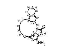 Nc1nc2nc3c1[nH]c(=O)n3Cc1cc(c3c(c1)CNCC3)CCCCCO2